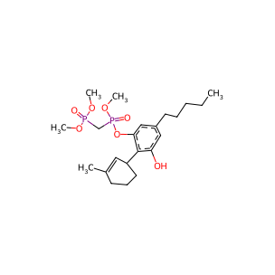 CCCCCc1cc(O)c(C2C=C(C)CCC2)c(OP(=O)(CP(=O)(OC)OC)OC)c1